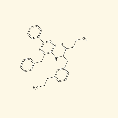 CCCc1cccc(CC(Nc2ncc(-c3ccccc3)nc2Cc2ccccc2)C(=O)OCC)c1